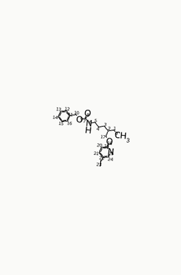 CCC(CCCNC(=O)OCc1ccccc1)COc1ccc(I)cn1